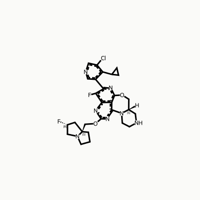 Fc1c(-c2cncc(Cl)c2C2CC2)nc2c3c(nc(OC[C@@]45CCCN4C[C@H](F)C5)nc13)N1CCNC[C@H]1CO2